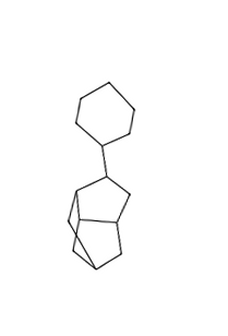 C1CCC(C2CC3CC4CC3C2C4)CC1